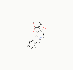 CCC(C(=O)O)C1(O)CCN(Cc2ccccc2)CC1